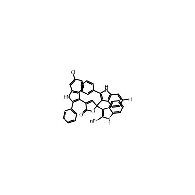 CCCc1[nH]c2ccccc2c1C1(c2c(-c3ccccc3)[nH]c3cc(Cl)ccc23)C=C(c2c(-c3ccccc3)[nH]c3cc(Cl)ccc23)C(=O)O1